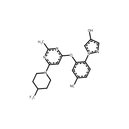 Cc1nc(Oc2cc(C#N)ccc2-n2cc(O)cn2)cc(N2CCC(C(F)(F)F)CC2)n1